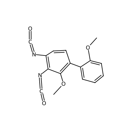 COc1ccccc1-c1ccc(N=C=O)c(N=C=O)c1OC